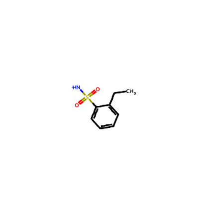 CCc1ccccc1S([NH])(=O)=O